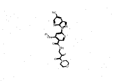 CC(C)Nc1cc(-n2ncc3cc(C#N)cnc32)ncc1C(=O)NCC(F)C(=O)N1CCOCC1